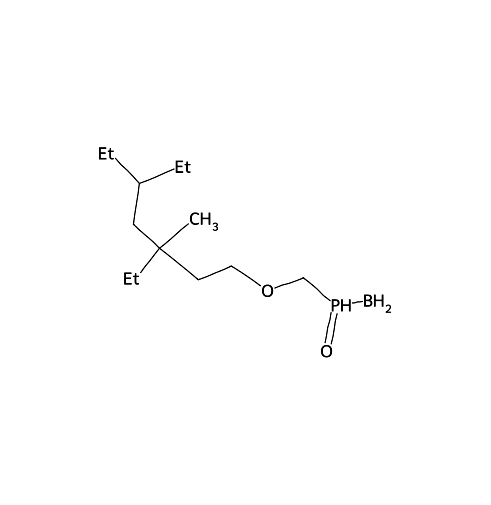 B[PH](=O)COCCC(C)(CC)CC(CC)CC